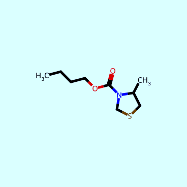 CCCCOC(=O)N1CSCC1C